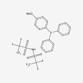 COc1ccc([S+](c2ccccc2)c2ccccc2)cc1.O=S(=O)(NS(=O)(=O)C(F)(F)C(F)(F)F)C(F)(F)C(F)(F)F